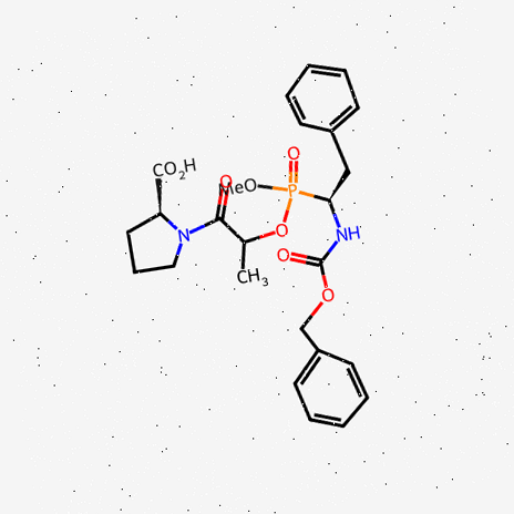 COP(=O)(OC(C)C(=O)N1CCC[C@H]1C(=O)O)[C@@H](Cc1ccccc1)NC(=O)OCc1ccccc1